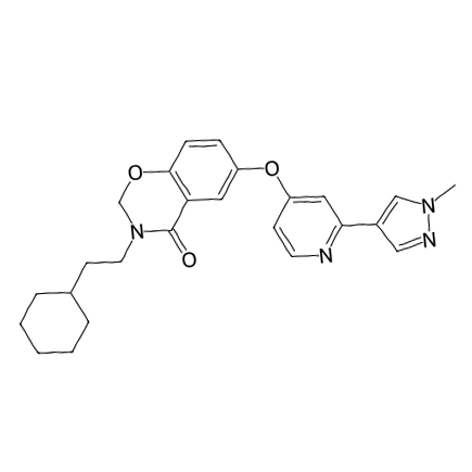 Cn1cc(-c2cc(Oc3ccc4c(c3)C(=O)N(CCC3CCCCC3)CO4)ccn2)cn1